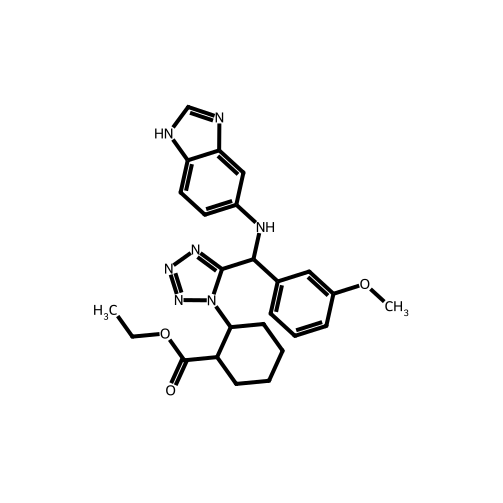 CCOC(=O)C1CCCCC1n1nnnc1C(Nc1ccc2[nH]cnc2c1)c1cccc(OC)c1